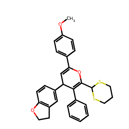 COc1ccc(C2=CC(c3ccc4c(c3)CCO4)C(c3ccccc3)=C(C3SCCCS3)O2)cc1